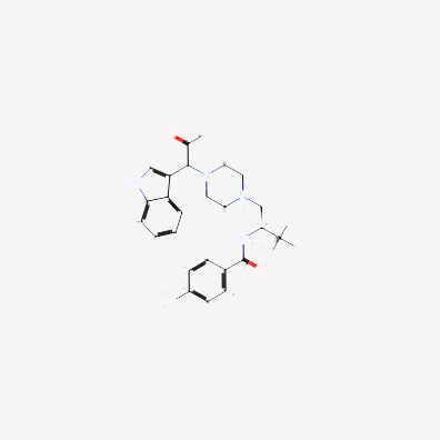 CC(=O)C(c1c[nH]c2ccccc12)N1CCN(C[C@H](NC(=O)c2ccc(C)cc2)C(C)(C)C)CC1